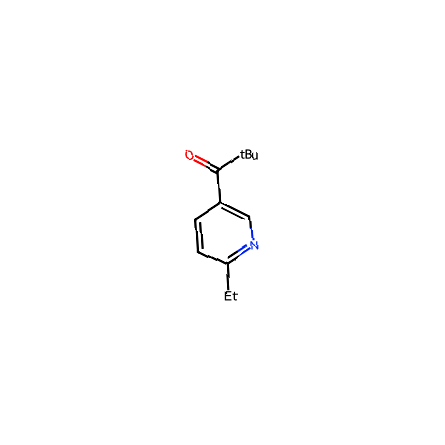 CCc1ccc(C(=O)C(C)(C)C)cn1